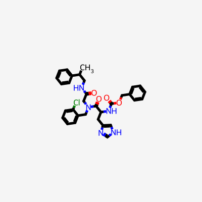 CC(CNC(=O)CN(Cc1ccccc1Cl)C(=O)C(Cc1c[nH]cn1)NC(=O)OCc1ccccc1)c1ccccc1